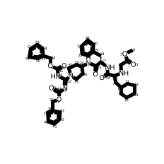 COC(=O)CNC(CC1CCCCC1)C(=O)N[C@@H](Cc1ccccc1)C(=O)NC1CCN(C(=NC(=O)OCc2ccccc2)NC(=O)OCc2ccccc2)CC1